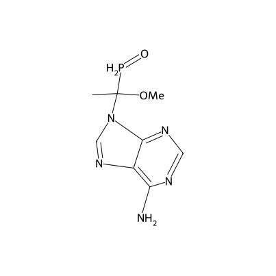 COC(C)([PH2]=O)n1cnc2c(N)ncnc21